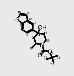 CC1CC(O)(c2ccc3sccc3c2)CCN1C(=O)OC(C)(C)C